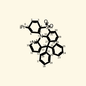 CC(C)c1ccc2c(c1)N1c3ncccc3C(c3ccccc3)(c3ccccc3)c3cccc(c31)S2(=O)=O